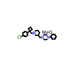 COc1ccccc1N1CCN(CC2CCCN(CC3(c4ccc(Cl)cc4)CCC3)C2)CC1